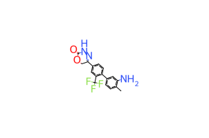 Cc1ccc(-c2ccc(C3=NNC(=O)OC3)cc2C(F)(F)F)cc1N